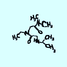 CCN(CC(=O)N(C)C)C(=O)CNC(C)C